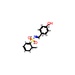 CC1CC=CC=C1S(=O)(=O)/N=C/c1ccc(O)cc1